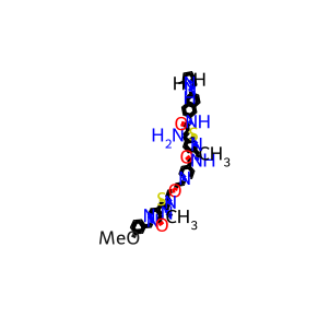 COc1cccc(Cn2ncc3c4sc(COCCN5CCC(C(=O)NC(C)c6ccc7c(N)c(C(=O)N[C@H]8CCc9cc(N%10C[C@H]%11CC[C@@H](C%10)N%11)ccc9C8)sc7n6)CC5)nc4n(C)c3c2=O)c1